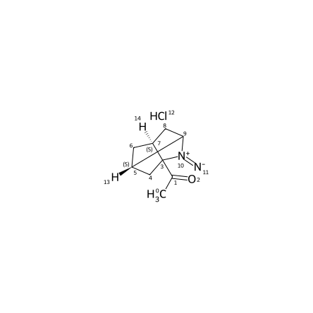 CC(=O)C12C[C@@H]3C[C@H]1CC3[N+]2=[N-].Cl